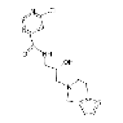 O=C(NC[C@H](O)CN1CCc2sccc2C1)c1cc(Cl)ncn1